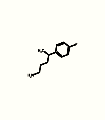 CC(CCCN)c1ccc(F)cc1